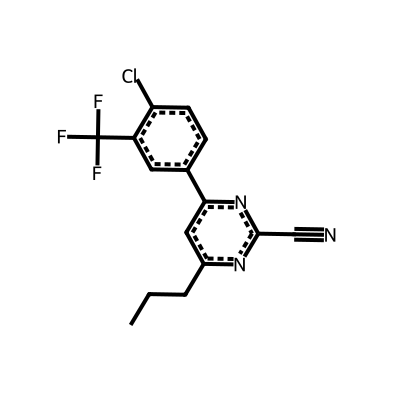 CCCc1cc(-c2ccc(Cl)c(C(F)(F)F)c2)nc(C#N)n1